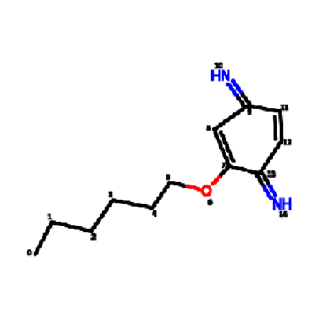 CCCCCCOC1=CC(=N)C=CC1=N